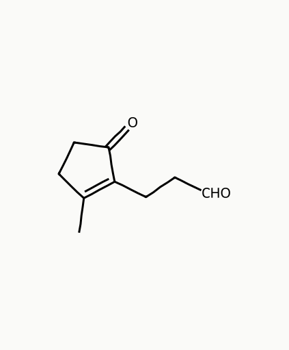 CC1=C(CCC=O)C(=O)CC1